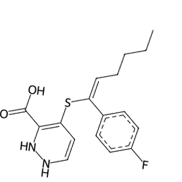 CCCCC=C(SC1=C(C(=O)O)NNC=C1)c1ccc(F)cc1